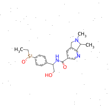 CC[S+]([O-])c1ccc(C(CO)NC(=O)c2cnc3c(c2)CN(C)C3C)cc1